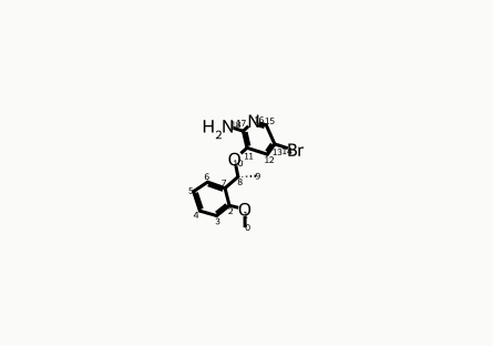 COc1ccccc1[C@@H](C)Oc1cc(Br)cnc1N